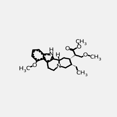 CC[C@@H]1CN2CCc3c([nH]c4cccc(OC)c34)[C@@H]2C[C@@H]1C(COC)C(=O)OC